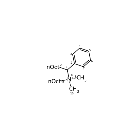 CCCCCCCCC(c1ccccc1)[N+](C)(C)CCCCCCCC